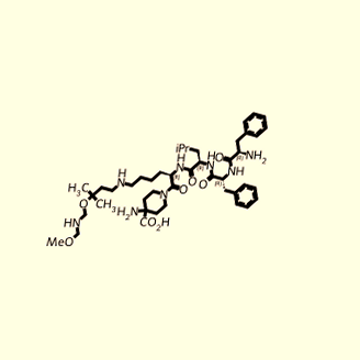 COCNCOC(C)(C)CCNCCCC[C@@H](NC(=O)[C@@H](CC(C)C)NC(=O)[C@@H](Cc1ccccc1)NC(=O)[C@H](N)Cc1ccccc1)C(=O)N1CCC(N)(C(=O)O)CC1